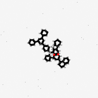 c1ccc(-c2cc(-c3ccccc3)cc(-c3ccc(N(c4ccccc4-c4cccc(-c5cccc6ccccc56)c4)c4cccc5c4oc4ccccc45)cc3)c2)cc1